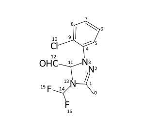 CC1=NN(c2ccccc2Cl)C(C=O)N1C(F)F